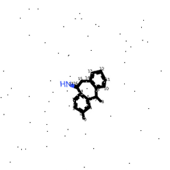 Cc1ccc2c(c1)C(C)c1ccccc1CC2=N